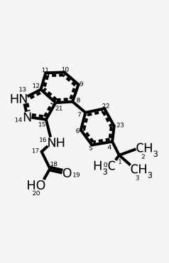 CC(C)(C)c1ccc(-c2cccc3[nH]nc(NCC(=O)O)c23)cc1